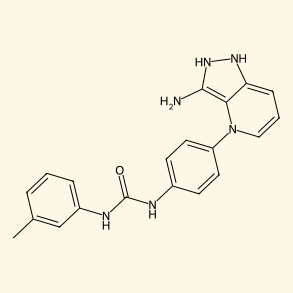 Cc1cccc(NC(=O)Nc2ccc(N3C=CC=C4NNC(N)=C43)cc2)c1